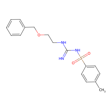 Cc1ccc(S(=O)(=O)NC(=N)NCCOCc2ccccc2)cc1